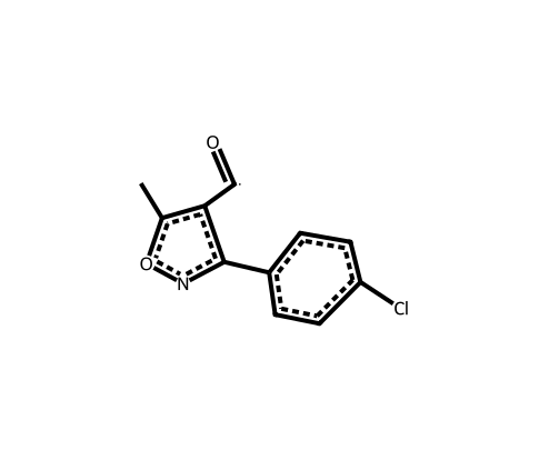 Cc1onc(-c2ccc(Cl)cc2)c1[C]=O